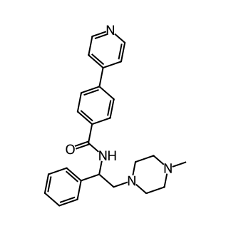 CN1CCN(CC(NC(=O)c2ccc(-c3ccncc3)cc2)c2ccccc2)CC1